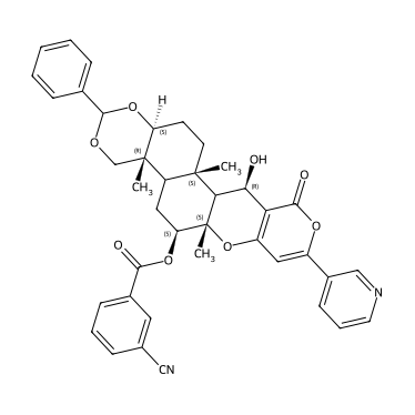 C[C@]12CC[C@@H]3OC(c4ccccc4)OC[C@@]3(C)C1C[C@H](OC(=O)c1cccc(C#N)c1)[C@@]1(C)Oc3cc(-c4cccnc4)oc(=O)c3[C@H](O)C21